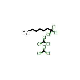 CCCCCCC(Cl)(Cl)Cl.ClC(Cl)Cl.ClC(Cl)Cl